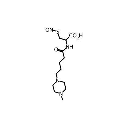 CN1CCN(CCCCC(=O)N[C@@H](CSN=O)C(=O)O)CC1